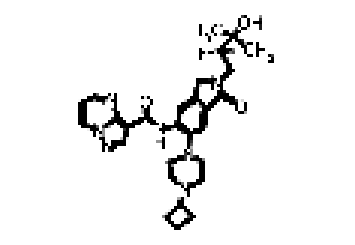 CC(C)(O)[C@H](F)CN1Cc2cc(NC(=O)c3cnn4cccnc34)c(N3CCN(C4CCC4)CC3)cc2C1=O